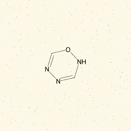 C1=NN=CON1